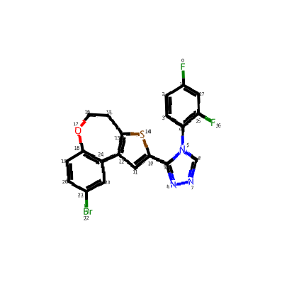 Fc1ccc(-n2cnnc2-c2cc3c(s2)CCOc2ccc(Br)cc2-3)c(F)c1